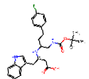 CC(C)(C)OC(=O)NCC(CCc1ccc(F)cc1)N[C@@H](CC(=O)O)Cc1c[nH]c2ccccc12